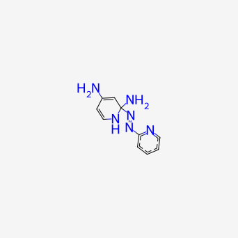 NC1=CC(N)(N=Nc2ccccn2)NC=C1